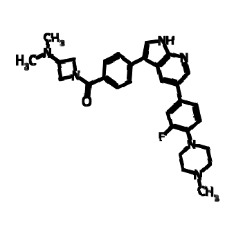 CN1CCN(c2ccc(-c3cnc4[nH]cc(-c5ccc(C(=O)N6CC(N(C)C)C6)cc5)c4c3)cc2F)CC1